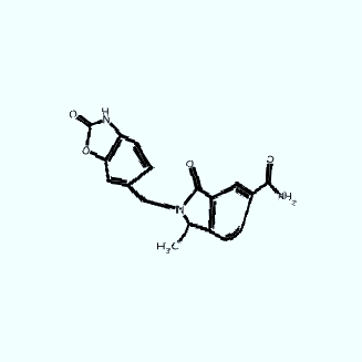 CC1c2ccc(C(N)=O)cc2C(=O)N1Cc1ccc2[nH]c(=O)oc2c1